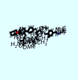 COC(=O)N[C@H](C(N)=O)C(C)(C)Cc1nc(N2CC3CCC(C2)N3C2COC2)ncc1-c1ccc(C[C@H](NC(=O)[C@@H](NC(=O)OC)C(C)(C)C(F)(F)F)[C@@H](O)CNCc2c(F)cc(C(=N)/C=C\NC(F)F)cc2F)cc1